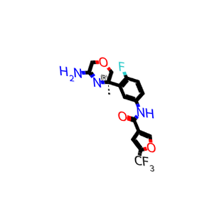 C[C@@]1(c2cc(NC(=O)c3coc(C(F)(F)F)c3)ccc2F)COCC(N)=N1